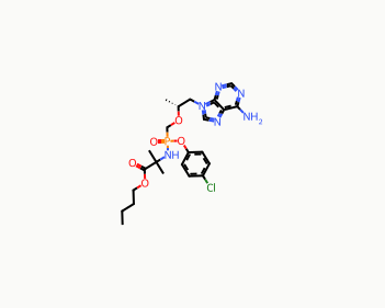 CCCCOC(=O)C(C)(C)NP(=O)(CO[C@H](C)Cn1cnc2c(N)ncnc21)Oc1ccc(Cl)cc1